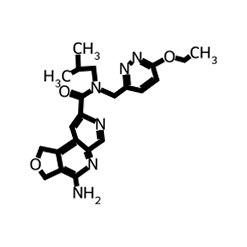 CCOc1ccc(CN(CC(C)C)C(=O)c2cc3c4c(c(N)nc3cn2)COC4)nn1